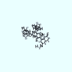 C#Cc1c(F)ccc2cc(N)cc(-c3ncc4c(N5C[C@H]6CC[C@@H](C5)N6)nc(OC[C@]56CCCN5C[C@H]5C[C@H]56)nc4c3F)c12